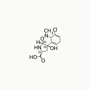 CN1O[C@H]2N[C@H](C(=O)O)C[C@@]2(O)C2=CCC=C(Cl)C21